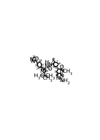 Cn1c(=O)c(-c2ccc(F)c(NC(=O)Nc3cc(C(C)(C)C)nn3-c3ccc(-c4nnco4)cc3)c2)cc2cnc(N)nc21